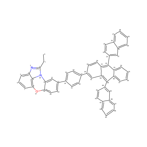 CCc1nc2cccc3c2n1-c1cc(-c2ccc(-c4ccc5c(-c6ccc7ccccc7c6)c6ccccc6c(-c6ccc7ccccc7c6)c5c4)cc2)ccc1O3